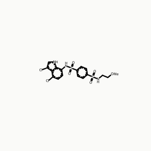 COCCNS(=O)(=O)c1ccc(S(=O)(=O)Nc2ccc(Cl)c3c(Cl)c[nH]c23)cc1